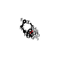 COC(=O)[C@@H](OC(C)(C)C)c1c(C)nc2cc3nn2c1N1CCC(C)(CC1)OC/C=C/COc1ccc(F)cc1Cc1cnn-3c1